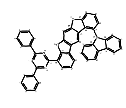 c1ccc(-c2nc(-c3ccccc3)nc(-c3cccc4c3oc3cc5oc6cccc(-n7c8ccccc8c8ccccc87)c6c5cc34)n2)cc1